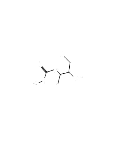 CC(C)CC(C(=O)O)C(C)NC(=O)OC(C)(C)C